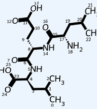 CC(C)C[C@H](NC(=O)[C@H](CCC(=O)O)NC(=O)[C@@H](N)CC(C)C)C(=O)O